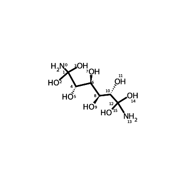 NC(O)(O)[C@@H](O)[C@@H](O)[C@H](O)[C@H](O)C(N)(O)O